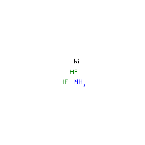 F.F.N.[Ni]